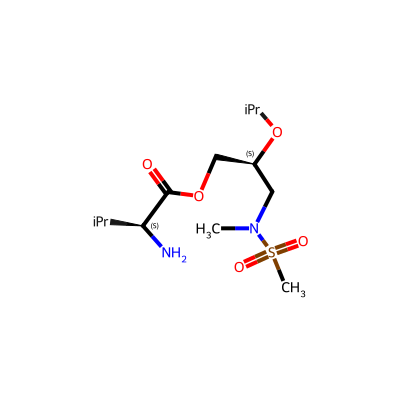 CC(C)O[C@H](COC(=O)[C@@H](N)C(C)C)CN(C)S(C)(=O)=O